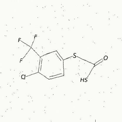 O=C(S)Sc1ccc(Cl)c(C(F)(F)F)c1